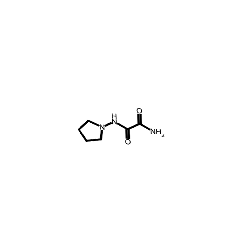 NC(=O)C(=O)NN1CCCC1